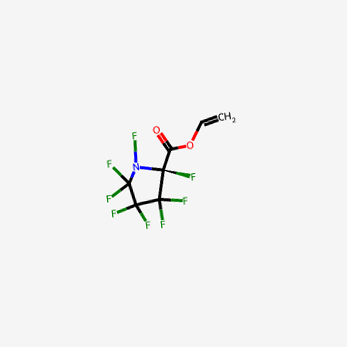 C=COC(=O)[C@@]1(F)N(F)C(F)(F)C(F)(F)C1(F)F